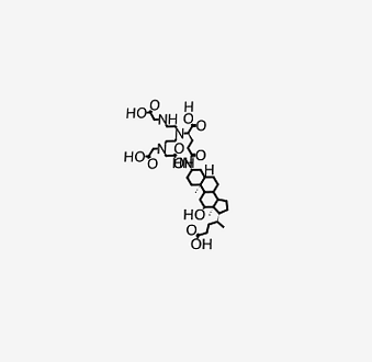 CC(CCC(=O)O)[C@H]1CCC2C3CC[C@@H]4C[C@@H](NC(=O)CC[C@H](C(=O)O)N(CCNCC(=O)O)CCN(CC(=O)O)CC(=O)O)CC[C@]4(C)C3C[C@H](O)[C@@]21C